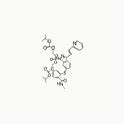 CNC(=O)c1ccccc1Sc1ccc2c(/C=C/c3ccccn3)nn(P(=O)(OCOC(=O)OC(C)C)OCOC(=O)OC(C)C)c2c1